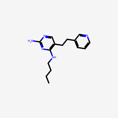 CCCCNc1nc(N)ncc1CCc1cccnc1